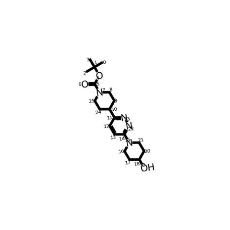 CC(C)(C)OC(=O)N1CCC(c2ccc(N3CCC(O)CC3)nn2)CC1